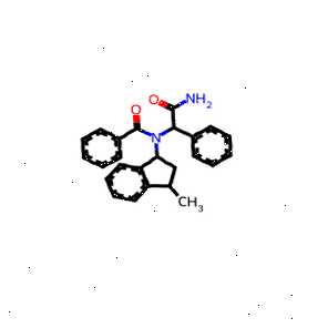 CC1CC(N(C(=O)c2ccccc2)C(C(N)=O)c2ccccc2)c2ccccc21